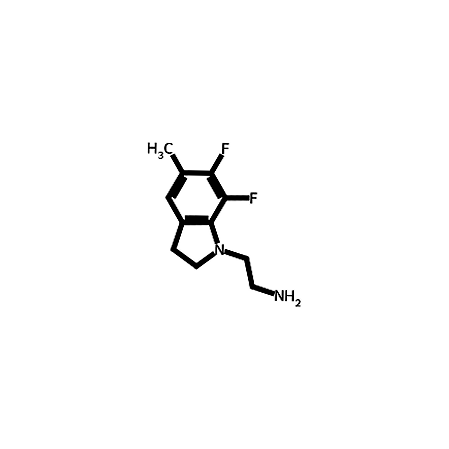 Cc1cc2c(c(F)c1F)N(CCN)CC2